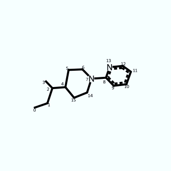 CCC(C)C1CCN(c2ccccn2)CC1